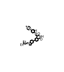 CCN(CC)CCn1ccc2cc(-c3ccc4c(c3)/C(=C/Nc3ccc(N5CCN(C)CC5)cc3)C(=O)NC4=O)ccc21